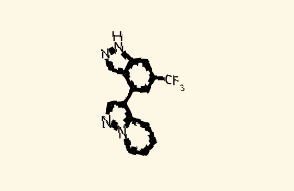 FC(F)(F)c1cc(-c2cnn3ccccc23)c2cn[nH]c2c1